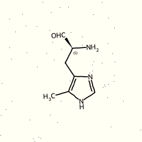 Cc1[nH]cnc1C[C@H](N)C=O